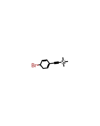 C[Si](C)(C)C#CC1=CC[C](Br)C=C1